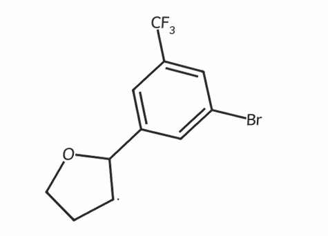 FC(F)(F)c1cc(Br)cc(C2[CH]CCO2)c1